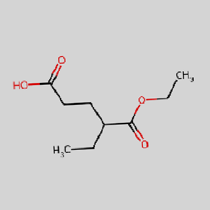 CCOC(=O)C(CC)CCC(=O)O